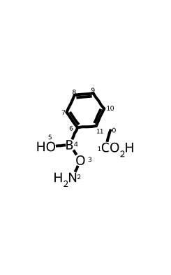 CC(=O)O.NOB(O)c1ccccc1